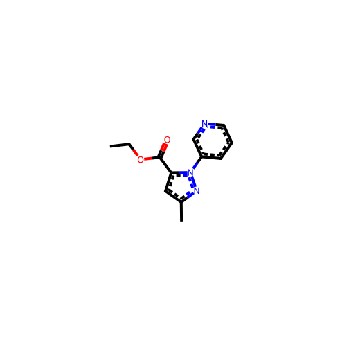 CCOC(=O)c1cc(C)nn1-c1cccnc1